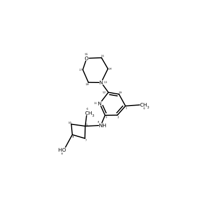 Cc1cc(NC2(C)CC(O)C2)nc(N2CCOCC2)c1